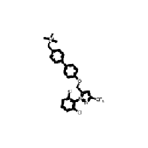 C[N+](C)(C)Cc1ccc(-c2ccc(OCc3cc(C(F)(F)F)nn3-c3c(Cl)cccc3Cl)cc2)cc1